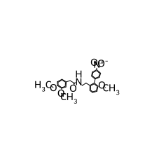 COc1ccc(CC(=O)NCCc2cccc(OC)c2-c2ccc([N+](=O)[O-])cc2)cc1OC